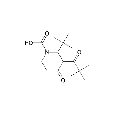 CC(C)(C)C(=O)C1C(=O)CCN(C(=O)O)C1C(C)(C)C